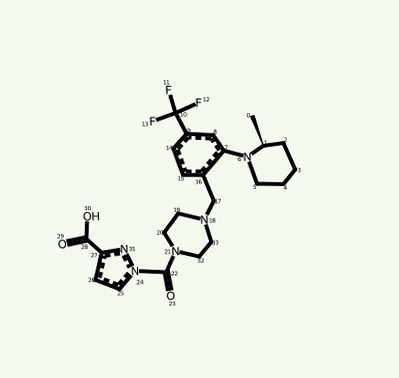 C[C@H]1CCCCN1c1cc(C(F)(F)F)ccc1CN1CCN(C(=O)n2ccc(C(=O)O)n2)CC1